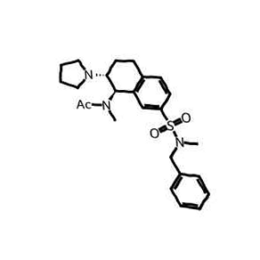 CC(=O)N(C)[C@@H]1c2cc(S(=O)(=O)N(C)Cc3ccccc3)ccc2CC[C@H]1N1CCCC1